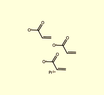 C=CC(=O)[O-].C=CC(=O)[O-].C=CC(=O)[O-].[Pr+3]